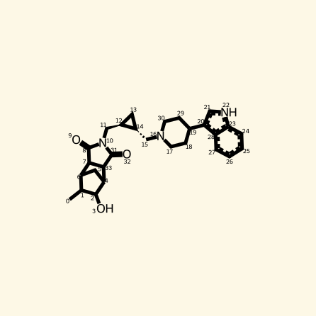 CC1C(O)C2CC1C1C(=O)N(C[C@H]3C[C@@H]3CN3CCC(c4c[nH]c5ccccc45)CC3)C(=O)C21